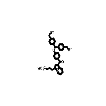 CC(C)Cc1ccc(C(Oc2ccc(C(=O)c3cc(CCCC(=O)O)n4ccccc34)cc2)c2ccc(CC(C)C)cc2)cc1